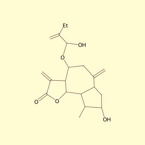 C=C(CC)C(O)OC1CC(=C)C2CC(O)C(C)C2C2OC(=O)C(=C)C12